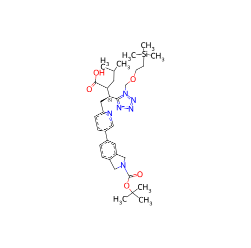 CC(C)CC(C(=O)O)[C@H](Cc1ccc(-c2ccc3c(c2)CN(C(=O)OC(C)(C)C)C3)cn1)c1nnnn1COCC[Si](C)(C)C